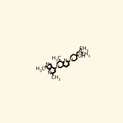 Cc1cc(N2Cc3ccc(N4CCC(O)(CN(C)C)CC4)nc3[C@@H](C)C2)c2cnn(C)c2n1